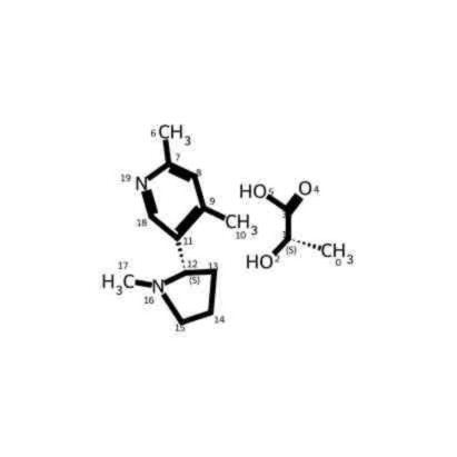 C[C@H](O)C(=O)O.Cc1cc(C)c([C@@H]2CCCN2C)cn1